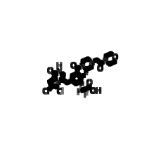 O=C(CN1CCN(C(=O)c2cc(Cc3c[nH]c(=O)c4cc(Cl)c(Cl)n34)ccc2F)CC1)N1CCOCC1.O=C(O)C(F)(F)F